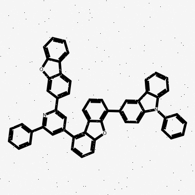 c1ccc(-c2cc(-c3cccc4oc5c(-c6ccc7c(c6)c6ccccc6n7-c6ccccc6)cccc5c34)cc(-c3ccc4c(c3)oc3ccccc34)n2)cc1